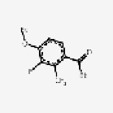 CCOc1ccc(C(=O)CC)c(C(F)(F)F)c1F